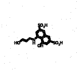 O=S(=O)(O)c1cc(O)c2c(NCC=CO)cc(S(=O)(=O)O)cc2c1